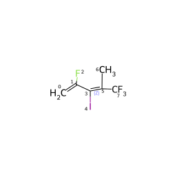 C=C(F)/C(I)=C(\C)C(F)(F)F